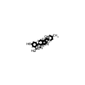 C[C@@H]1CC[C@@]2(OC1)O[C@H]1C[C@H]3[C@H](CO)[C@@H]([C@@]4(C)CC[C@H](O)C[C@@H]4CO)CC[C@]3(C)[C@H]1[C@@H]2C